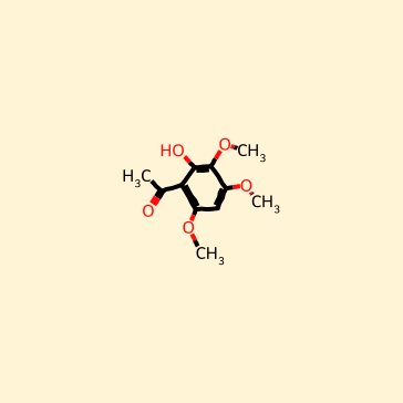 COc1cc(OC)c(C(C)=O)c(O)c1OC